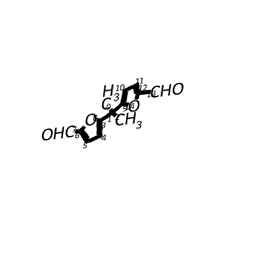 CC(C)(c1ccc(C=O)o1)c1ccc(C=O)o1